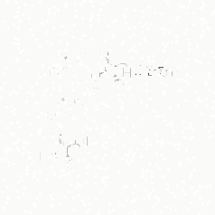 O=P([O-])([O-])[O-].O=P([O-])([O-])[O-].[O]=[Cr](=[O])([OH])[OH].[O]=[Cr](=[O])([OH])[OH].[Zn+2].[Zn+2].[Zn+2]